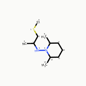 CCSCC(C#N)NN1C(C)CCCC1C